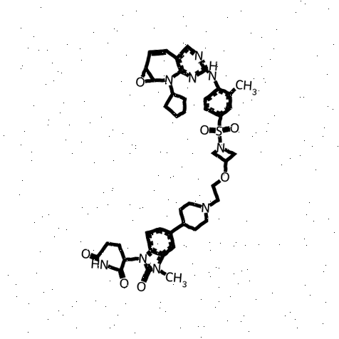 Cc1cc(S(=O)(=O)N2CC(OCCN3CCC(c4ccc5c(c4)n(C)c(=O)n5C4CCC(=O)NC4=O)CC3)C2)ccc1Nc1ncc2c(n1)N(C1CCCC1)C1OC1C=C2